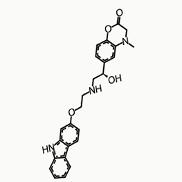 CN1CC(=O)Oc2ccc([C@@H](O)CNCCOc3ccc4c(c3)[nH]c3ccccc34)cc21